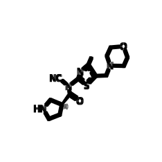 Cc1nc(N(C#N)C(=O)[C@H]2CCNC2)sc1CN1CCOCC1